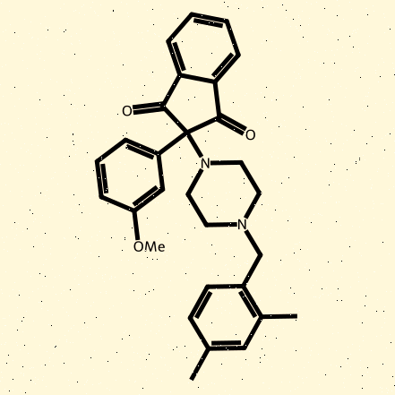 COc1cccc(C2(N3CCN(Cc4ccc(C)cc4C)CC3)C(=O)c3ccccc3C2=O)c1